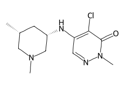 C[C@@H]1C[C@H](Nc2cnn(C)c(=O)c2Cl)CN(C)C1